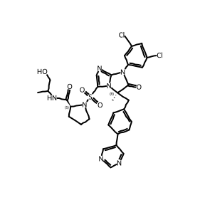 CC(CO)NC(=O)[C@@H]1CCCN1S(=O)(=O)c1cnc2n1[C@](C)(Cc1ccc(-c3cncnc3)cc1)C(=O)N2c1cc(Cl)cc(Cl)c1